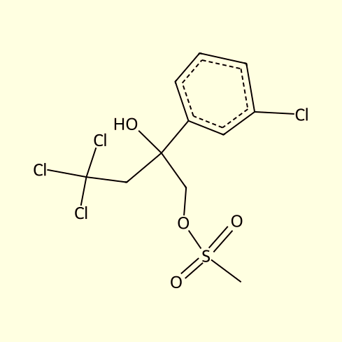 CS(=O)(=O)OCC(O)(CC(Cl)(Cl)Cl)c1cccc(Cl)c1